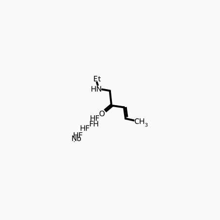 C/C=C/C(=O)CNCC.F.F.F.F.[Nb]